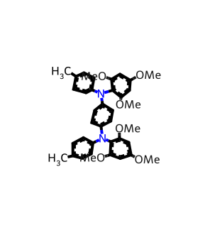 COc1cc(OC)c(N(c2ccc(C)cc2)c2ccc(N(c3ccc(C)cc3)c3c(OC)cc(OC)cc3OC)cc2)c(OC)c1